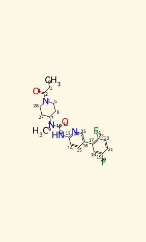 CCC(=O)N1CCC(N(C)C(=O)Nc2ccc(-c3cc(F)ccc3F)cn2)CC1